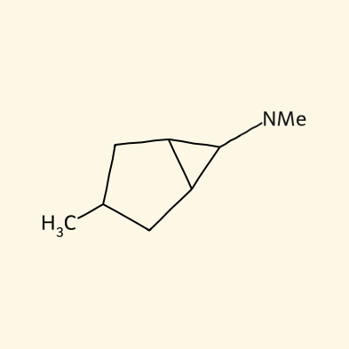 CNC1C2CC(C)CC21